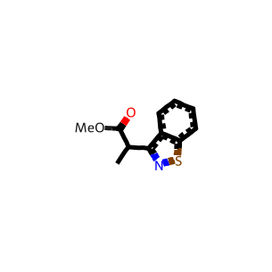 COC(=O)C(C)c1nsc2ccccc12